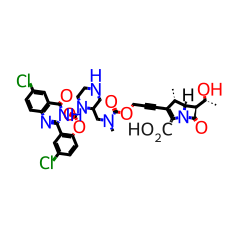 C[C@@H](O)[C@H]1C(=O)N2C(C(=O)O)=C(C#CCOC(=O)N(C)CC3CNCCN3C(=O)Oc3ccc(Cl)cc3-c3nc4ccc(Cl)cc4c(=O)[nH]3)[C@H](C)[C@H]12